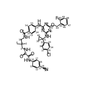 CC(C)(CNC(=O)C(=O)Nc1ccc(C#N)cc1)CNC(=O)c1ccc(Nc2nc(NC3(c4ccc(Cl)cc4)CC3)nc(OCc3ccccc3F)n2)cc1